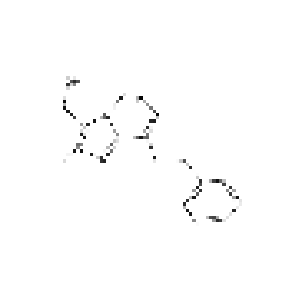 Cc1nc2c(CCc3ccccc3)cccn2c1CO